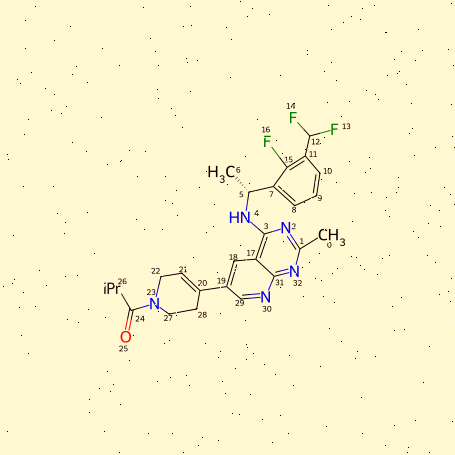 Cc1nc(N[C@H](C)c2cccc(C(F)F)c2F)c2cc(C3=CCN(C(=O)C(C)C)CC3)cnc2n1